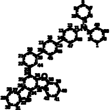 c1ccc(N(c2ccccc2)c2ccc(-c3ccc(-c4cccc(-c5cc6c7ccccc7sc6c6c5oc5ccccc56)c4)cc3)cc2)cc1